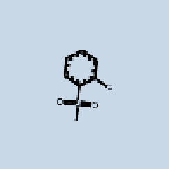 CS(=O)(=O)c1cc[c]cc1F